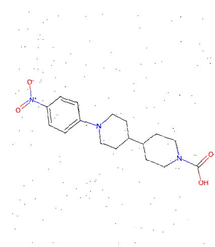 O=C(O)N1CCC(C2CCN(c3ccc([N+](=O)[O-])cc3)CC2)CC1